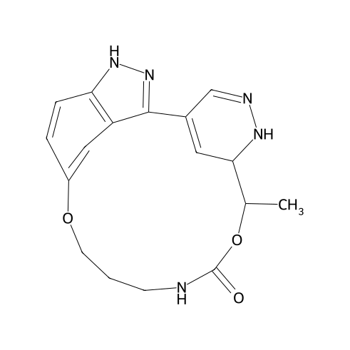 CC1OC(=O)NCCCOc2ccc3[nH]nc(c3c2)C2=CC1NN=C2